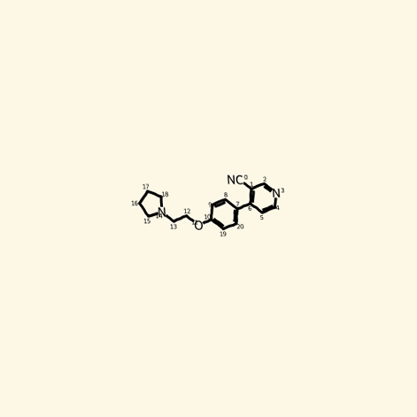 N#Cc1cnccc1-c1ccc(OCCN2CCCC2)cc1